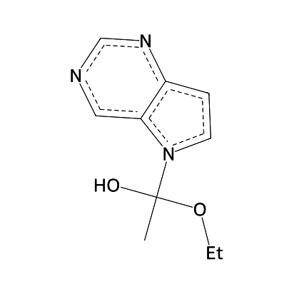 CCOC(C)(O)n1ccc2ncncc21